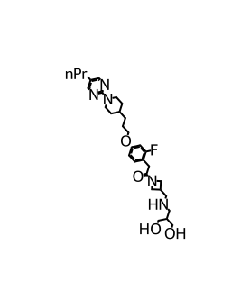 CCCc1cnc(N2CCC(CCCOc3ccc(CC(=O)N4CC(CNCC(CO)CO)C4)c(F)c3)CC2)nc1